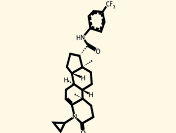 C[C@]12CC[C@H]3[C@@H](CC=C4N(C5CC5)C(=O)CC[C@@]43C)[C@@H]1CC[C@@H]2C(=O)Nc1ccc(C(F)(F)F)cc1